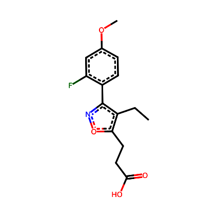 CCc1c(-c2ccc(OC)cc2F)noc1CCC(=O)O